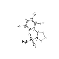 NS(=O)(=O)N1CCCC1c1cc(F)cc(Br)c1F